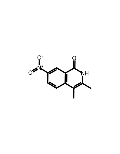 Cc1[nH]c(=O)c2cc([N+](=O)[O-])ccc2c1C